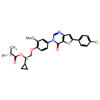 COc1cc(-n2cnc3cc(-c4ccc(Cl)cc4)sc3c2=O)ccc1OC[C@H](OC(=O)[C@@H](C)C(C)C)C1CC1